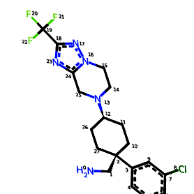 NC[C@]1(c2cccc(Cl)c2)CC[C@H](N2CCn3nc(C(F)(F)F)nc3C2)CC1